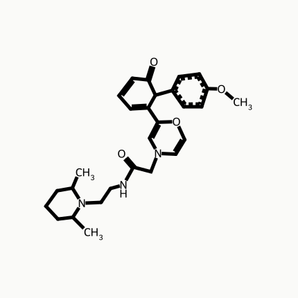 COc1ccc(C2C(=O)C=CC=C2C2=CN(CC(=O)NCCN3C(C)CCCC3C)C=CO2)cc1